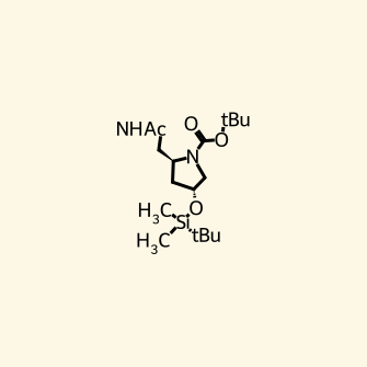 CC(=O)NC[C@@H]1C[C@@H](O[Si](C)(C)C(C)(C)C)CN1C(=O)OC(C)(C)C